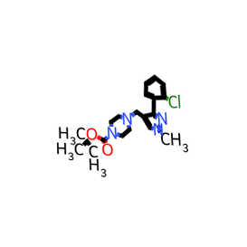 Cn1cc(CN2CCN(C(=O)OC(C)(C)C)CC2)c(-c2ccccc2Cl)n1